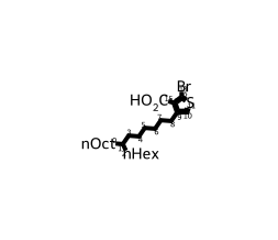 CCCCCCCCC(CCCCCC)CCCCCCc1csc(Br)c1C(=O)O